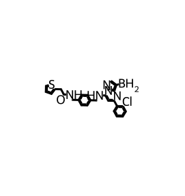 Bc1cnn2c(NCc3ccc(CNC(=O)Cc4cccs4)cc3)cc(-c3ccccc3Cl)nc12